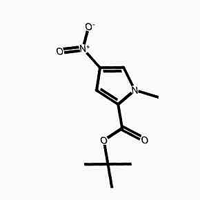 Cn1cc([N+](=O)[O-])cc1C(=O)OC(C)(C)C